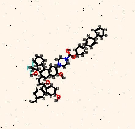 CCc1ccc(C2(c3ccc(OC)cc3)C=Cc3c4c(c5cc(N6CCN(C(=O)Oc7ccc(-c8ccc(-c9ccccc9)cc8)cc7)CC6)c(OC)cc5c3O2)-c2ccccc2C4(OC)C(F)(F)F)cc1